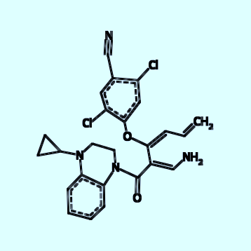 C=C/C=C(Oc1cc(Cl)c(C#N)cc1Cl)\C(=C/N)C(=O)N1CCN(C2CC2)c2ccccc21